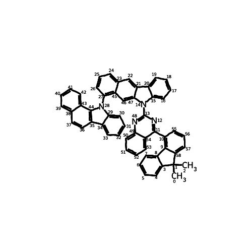 CC1(C)c2ccccc2-c2c(-c3nc(-n4c5ccccc5c5cc6cccc(-n7c8ccccc8c8ccc9ccccc9c87)c6cc54)nc4ccccc34)cccc21